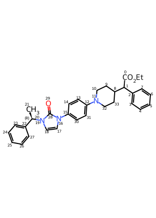 CCOC(=O)C(c1ccccc1)C1CCN(c2ccc(-n3ccn([C@H](C)c4ccccc4)c3=O)cc2)CC1